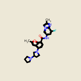 Cc1cn2cc(NC(=O)c3ccc(N4CCC(N5CCCC5)C4)c4cc(C)oc34)cc(F)c2n1